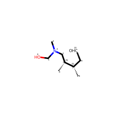 C[C@H](CN(C)CO)[C@@H](C)CC=O